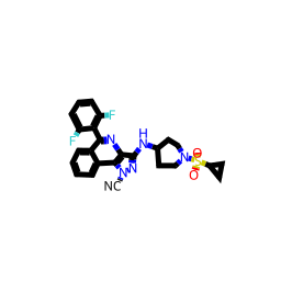 N#Cn1nc(NC2CCN(S(=O)(=O)C3CC3)CC2)c2nc(-c3c(F)cccc3F)c3ccccc3c21